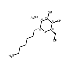 CC(=O)N[C@@H]1[C@@H](O)[C@@H](O)[C@@H](CO)O[C@@H]1CCCCCCN